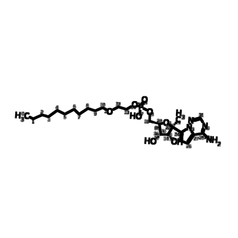 CCCCCCCCCCCOCCOP(=O)(O)OC[C@H]1O[C@@](C)(c2ccc3c(N)ncnn23)[C@H](O)[C@@H]1O